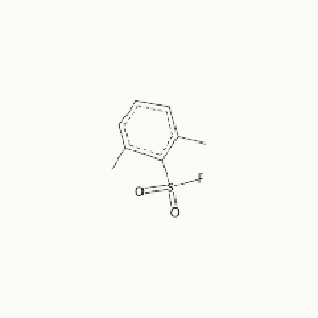 Cc1cccc(C)c1S(=O)(=O)F